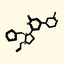 C=CC[C@H]1CCN(c2cc(N3CCO[C@H](C)C3)cc(=O)[nH]2)[C@H]1Cc1ccccc1